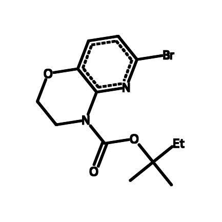 CCC(C)(C)OC(=O)N1CCOc2ccc(Br)nc21